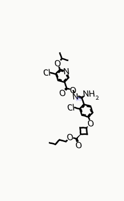 CCCCOC(=O)[C@H]1C[C@H](Oc2ccc(/C(N)=N/OC(=O)c3cnc(OC(C)C)c(Cl)c3)c(Cl)c2)C1